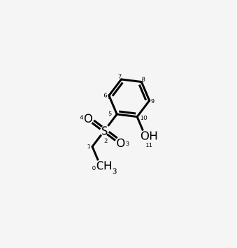 CCS(=O)(=O)c1[c]cccc1O